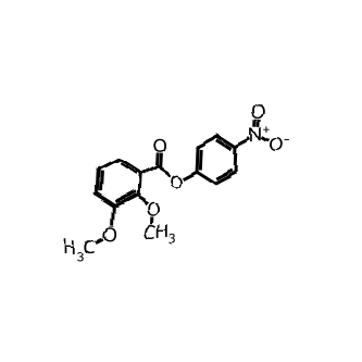 COc1cccc(C(=O)Oc2ccc([N+](=O)[O-])cc2)c1OC